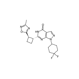 Cc1noc([C@@H]2CC[C@H]2c2nc3c(cnn3C3CCC(F)(F)CC3)c(=O)[nH]2)n1